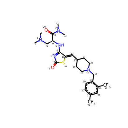 CN(C)C[C@H](NC1=NC(=O)S/C1=C\C1CCN(Cc2ccc(C(F)(F)F)cc2C(F)(F)F)CC1)C(=O)N(C)C